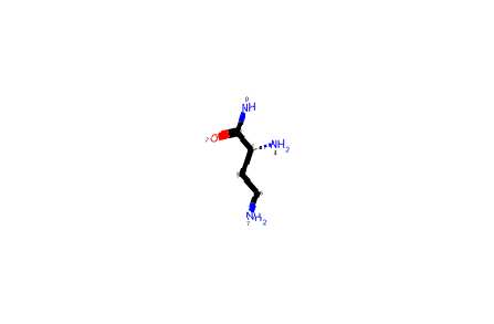 [NH]C(=O)[C@H](N)CCN